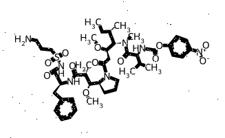 CC[C@H](C)[C@@H]([C@@H](CC(=O)N1CCC[C@H]1[C@H](OC)[C@@H](C)C(=O)N[C@@H](Cc1ccccc1)C(=O)NS(=O)(=O)CCCN)OC)N(C)C(=O)[C@@H](NC(=O)Oc1ccc([N+](=O)[O-])cc1)C(C)C